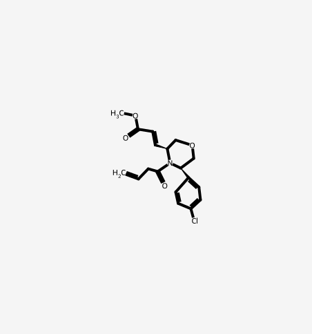 C=CCC(=O)N1[C@@H](C=CC(=O)OC)COC[C@H]1c1ccc(Cl)cc1